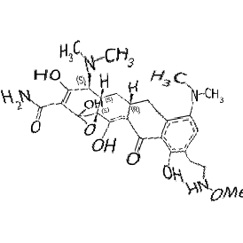 CONCc1cc(N(C)C)c2c(c1O)C(=O)C1=C(O)[C@]34OC3(O)C(C(N)=O)=C(O)[C@@H](N(C)C)[C@@H]4C[C@@H]1C2